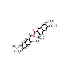 O=C(O)c1cc2cc(C(=O)O)c(C(=O)OC(=O)c3cc4cc(C(=O)O)c(C(=O)O)cc4cc3C(=O)O)cc2cc1C(=O)O